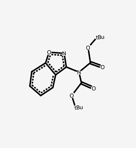 CC(C)(C)OC(=O)N(C(=O)OC(C)(C)C)c1noc2ccccc12